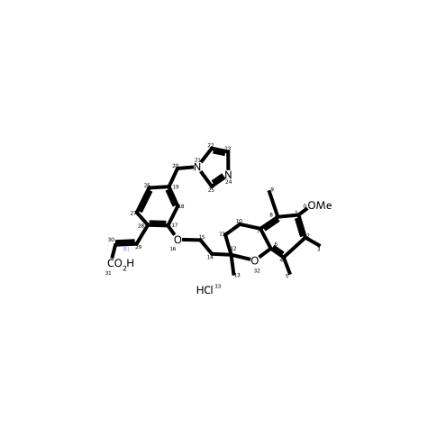 COc1c(C)c(C)c2c(c1C)CCC(C)(CCOc1cc(Cn3ccnc3)ccc1/C=C/C(=O)O)O2.Cl